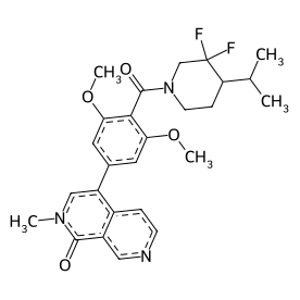 COc1cc(-c2cn(C)c(=O)c3cnccc23)cc(OC)c1C(=O)N1CCC(C(C)C)C(F)(F)C1